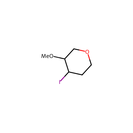 COC1COCCC1I